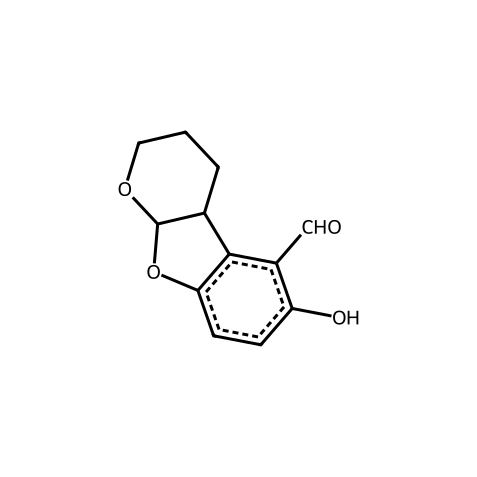 O=Cc1c(O)ccc2c1C1CCCOC1O2